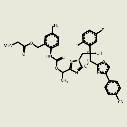 CNCC(=O)OCc1cc(C)ccc1NC(=O)OC(C)C1=NN(C[C@](O)(c2cc(F)ccc2F)[C@@H](C)c2nc(-c3ccc(C#N)cc3)cs2)C=[N+]1